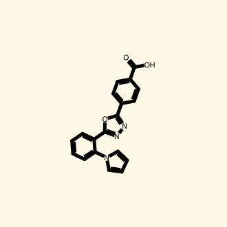 O=C(O)c1ccc(-c2nnc(-c3ccccc3-n3cccc3)o2)cc1